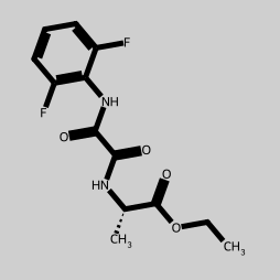 CCOC(=O)[C@H](C)NC(=O)C(=O)Nc1c(F)cccc1F